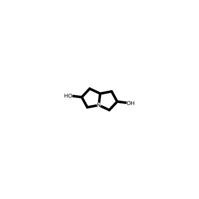 OC1CC2CC(O)CN2C1